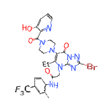 CCc1c(N2CCN(C(=O)c3ncccc3O)CC2)c(=O)n2nc(Br)nc2n1CC(=O)Nc1ccc(C(F)(F)F)cc1C